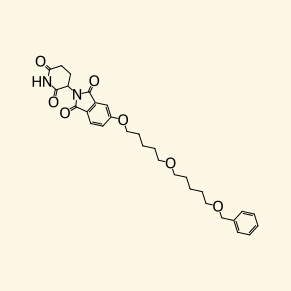 O=C1CCC(N2C(=O)c3ccc(OCCCCCOCCCCCOCc4ccccc4)cc3C2=O)C(=O)N1